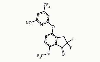 N#Cc1cc(C(F)(F)F)cc(Oc2ccc(SC(F)(F)F)c3c2CC(F)(F)C3=O)n1